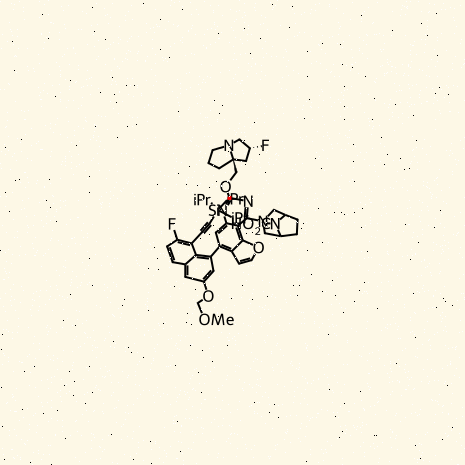 COCOc1cc(-c2cc3nc(OC[C@@]45CCCN4C[C@H](F)C5)nc(N4CC5CCC(C4)N5C(=O)O)c3c3occc23)c2c(C#C[Si](C(C)C)(C(C)C)C(C)C)c(F)ccc2c1